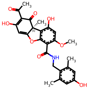 COc1cc(O)c2c(c1C(=O)NCc1c(C)cc(O)cc1C)OC1=CC(O)=C(C(C)=O)C(=O)[C@]12C